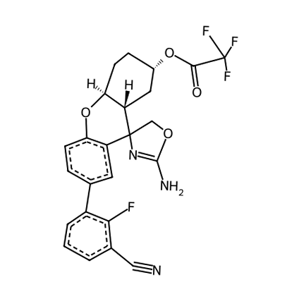 N#Cc1cccc(-c2ccc3c(c2)C2(COC(N)=N2)[C@H]2C[C@@H](OC(=O)C(F)(F)F)CC[C@@H]2O3)c1F